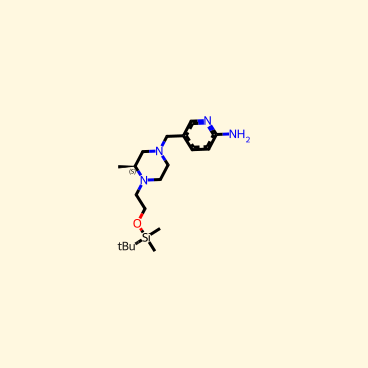 C[C@H]1CN(Cc2ccc(N)nc2)CCN1CCO[Si](C)(C)C(C)(C)C